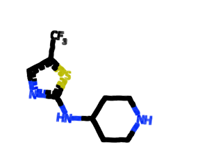 FC(F)(F)c1cnc(NC2CCNCC2)s1